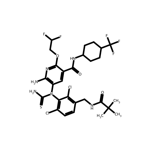 CC(C)(C)C(=O)NCc1ccc(Cl)c(N(C(N)=S)c2cc(C(=O)NC3CCC(C(F)(F)F)CC3)c(OCC(F)F)nc2N)c1Cl